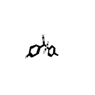 Cc1ccc(S(=O)(=O)C(=[N+]=[N-])c2ccc(F)cc2)cc1